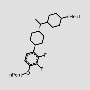 CCCCCCCC1CCC(C(C)[C@H]2CC[C@H](c3ccc(OCCCCC)c(F)c3F)CC2)CC1